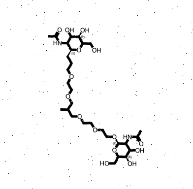 CC(=O)NC1C(O)[C@@H](O)C(CO)O[C@H]1OCCOCCOCC(C)COCCOCCC[C@@H]1OC(CO)[C@H](O)C(O)C1NC(C)=O